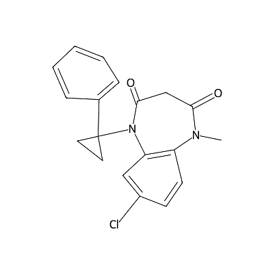 CN1C(=O)CC(=O)N(C2(c3ccccc3)CC2)c2cc(Cl)ccc21